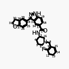 O=C(N[C@@H]1CCCN(CC2=C(F)CCC=C2)C1)c1ccc2[nH]nc(-c3ccc4c(c3)CCO4)c2c1